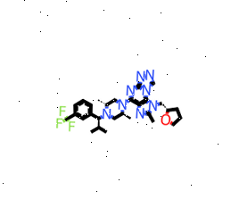 Cc1nc2c(N3C[C@@H](C)N([C@H](c4cccc(C(F)(F)F)c4)C(C)C)C[C@@H]3C)nc3nncn3c2n1C[C@@H]1CCCO1